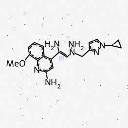 COc1cccc2c(/C(N)=C/N(N)Cc3ccn(C4CC4)n3)cc(N)nc12